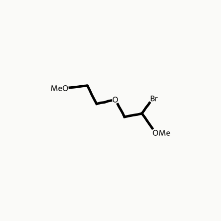 COCCOCC(Br)OC